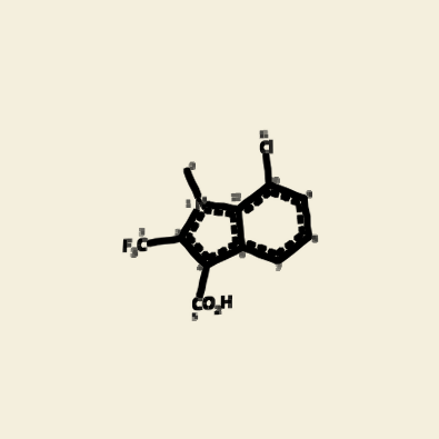 Cn1c(C(F)(F)F)c(C(=O)O)c2cccc(Cl)c21